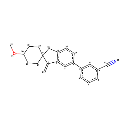 C=C1c2cc(-c3cccc(C#N)c3)ccc2CC12CCC(OC)CC2